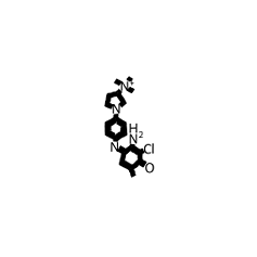 CC1=C/C(=N/c2ccc(N3CCC([N+](C)(C)C)C3)cc2)C(N)=C(Cl)C1=O